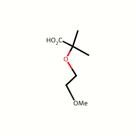 COCCOC(C)(C)C(=O)O